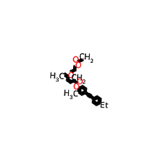 C=CC(=O)OCCCOC(/C=C\C(=C)C(=O)Oc1ccc(C#Cc2ccc(CC)cc2)cc1C)=C/C